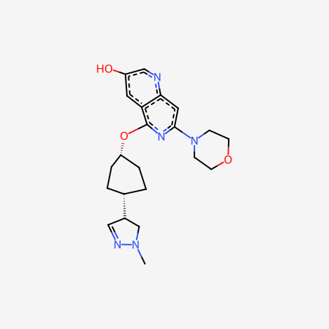 CN1CC([C@H]2CC[C@@H](Oc3nc(N4CCOCC4)cc4ncc(O)cc34)CC2)C=N1